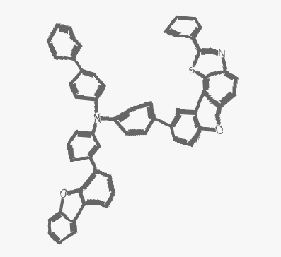 c1ccc(-c2ccc(N(c3ccc(-c4ccc5oc6ccc7nc(-c8ccccc8)sc7c6c5c4)cc3)c3cccc(-c4cccc5c4oc4ccccc45)c3)cc2)cc1